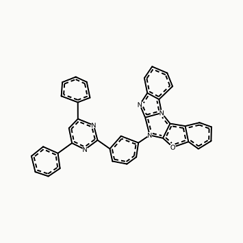 c1ccc(-c2cc(-c3ccccc3)nc(-c3cccc(-n4c5oc6ccccc6c5n5c6ccccc6nc45)c3)n2)cc1